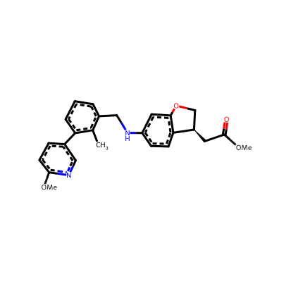 COC(=O)C[C@@H]1COc2cc(NCc3cccc(-c4ccc(OC)nc4)c3C)ccc21